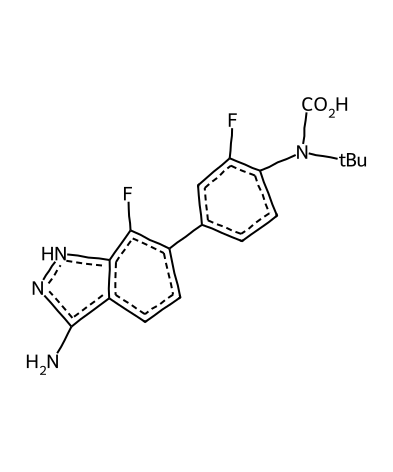 CC(C)(C)N(C(=O)O)c1ccc(-c2ccc3c(N)n[nH]c3c2F)cc1F